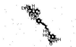 CCc1nc2c(cnn2CC)c(NC2CCOCC2)c1CNC(=O)Nc1ccc(C#CCCCNCC(O)c2ccc(O)c3c2OCC(=O)N3)cc1